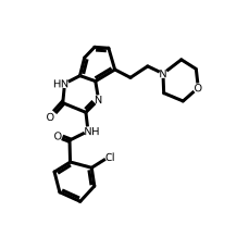 O=C(Nc1nc2c(CCN3CCOCC3)cccc2[nH]c1=O)c1ccccc1Cl